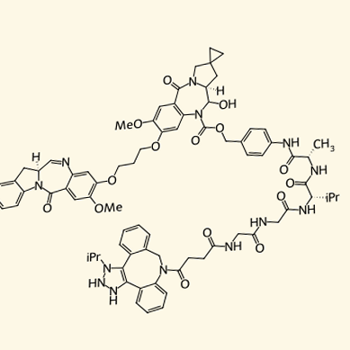 COc1cc2c(cc1OCCCOc1cc3c(cc1OC)C(=O)N1CC4(CC4)C[C@H]1C(O)N3C(=O)OCc1ccc(NC(=O)[C@H](C)NC(=O)[C@@H](NC(=O)CNC(=O)CNC(=O)CCC(=O)N3Cc4ccccc4C4=C(NNN4C(C)C)c4ccccc43)C(C)C)cc1)N=C[C@@H]1Cc3ccccc3N1C2=O